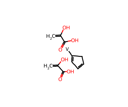 C=C(O)C(=O)O.C=C(O)C(=O)O.[V][C]1=CC=CC1